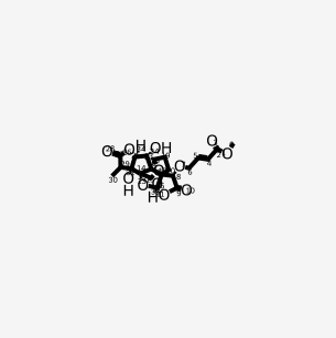 COC(=O)/C=C/CO[C@H]1C(=O)O[C@H]2O[C@]34C(=O)OC5CCC21[C@@]53[C@@H](O)[C@@H]1OC(=O)C(C)[C@@]14O